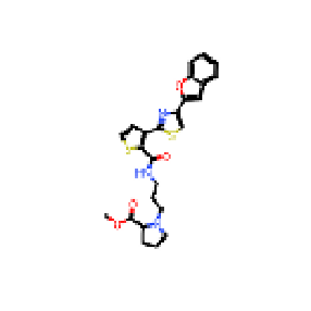 COC(=O)C1CCCN1CCCNC(=O)c1sccc1-c1nc(-c2cc3ccccc3o2)cs1